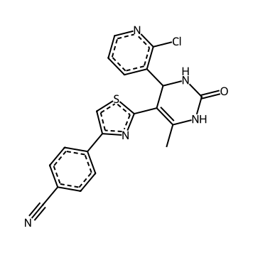 CC1=C(c2nc(-c3ccc(C#N)cc3)cs2)C(c2cccnc2Cl)NC(=O)N1